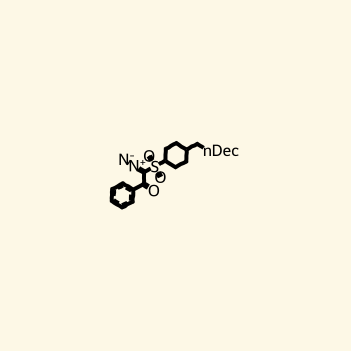 CCCCCCCCCCCC1CCC(S(=O)(=O)C(=[N+]=[N-])C(=O)c2ccccc2)CC1